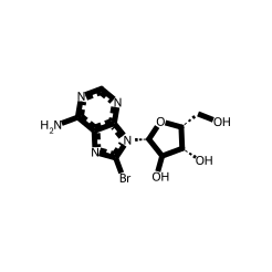 Nc1ncnc2c1nc(Br)n2[C@@H]1O[C@H](CO)[C@H](O)C1O